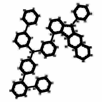 c1ccc(-c2cccc(N(c3ccc(-c4ccccc4-c4ccccc4)cc3)c3cccc(-c4cccc5c4c4cc6ccccc6cc4n5-c4ccccc4)c3)c2)cc1